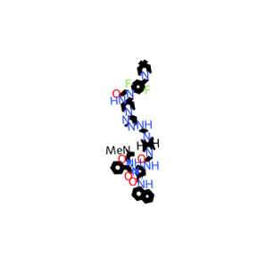 CN[C@@H](C)C(=O)N[C@H](C(=O)N1CC(NC(=O)CN2C[C@H]3CN(CCNc4cc(N5CCC6(CC5)CN(c5cc(F)c(CN7CCC(C)(C)CC7)cc5F)CC(=O)N6)ncn4)C[C@H]3C2)C[C@H]1C(=O)N[C@H]1CCCc2ccccc21)C1CCCCC1